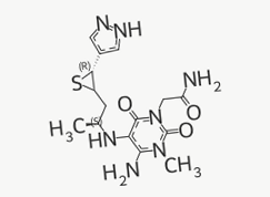 C[C@@H](CC1S[C@@H]1c1cn[nH]c1)Nc1c(N)n(C)c(=O)n(CC(N)=O)c1=O